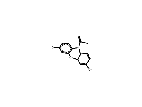 C=C(C)N1c2ccc(O)cc2OC2C=C(O)C=CC21